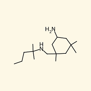 CCCC(C)(C)NCC1(C)CC(N)CC(C)(C)C1